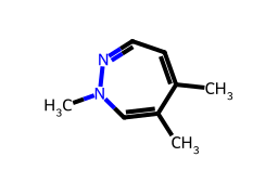 CC1=CC=NN(C)C=C1C